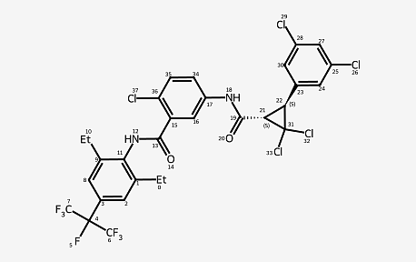 CCc1cc(C(F)(C(F)(F)F)C(F)(F)F)cc(CC)c1NC(=O)c1cc(NC(=O)[C@@H]2[C@@H](c3cc(Cl)cc(Cl)c3)C2(Cl)Cl)ccc1Cl